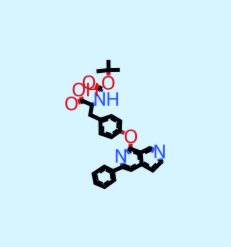 CC(C)(C)OC(=O)NC(Cc1ccc(Oc2nc(-c3ccccc3)cc3ccncc23)cc1)C(=O)O